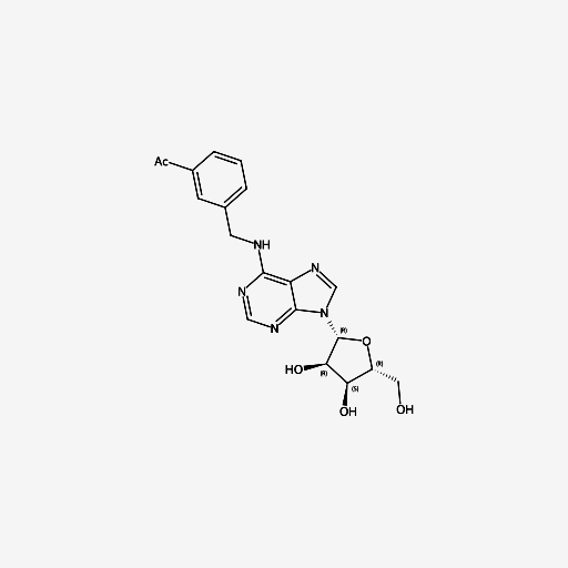 CC(=O)c1cccc(CNc2ncnc3c2ncn3[C@@H]2O[C@H](CO)[C@@H](O)[C@H]2O)c1